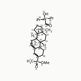 COP(C)(=O)C1=CC2=CC[C@H]3[C@@H]4CC[C@H](C(=O)[N+](O)(C(C)C)C(C)C)[C@@]4(C)CC[C@@H]3[C@@]2(C)CC1